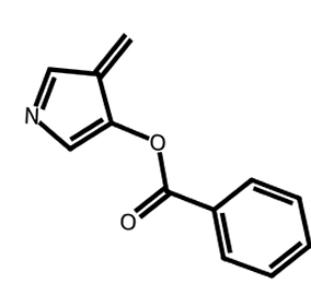 C=C1C=NC=C1OC(=O)c1ccccc1